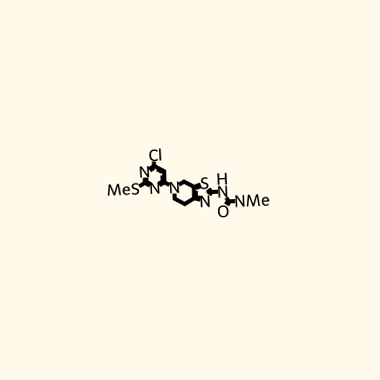 CNC(=O)Nc1nc2c(s1)CN(c1cc(Cl)nc(SC)n1)CC2